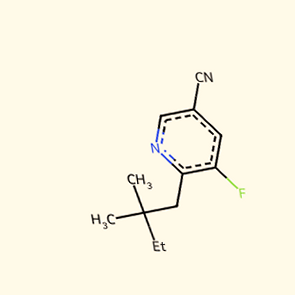 CCC(C)(C)Cc1ncc(C#N)cc1F